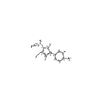 CC(=O)c1ccc(-n2nc(C)c(C(=O)O)c2C)cc1